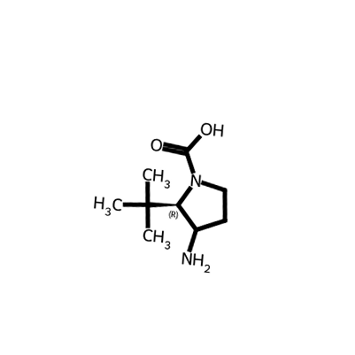 CC(C)(C)[C@@H]1C(N)CCN1C(=O)O